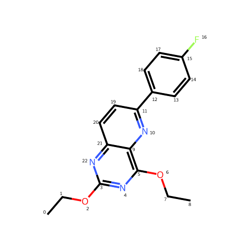 CCOc1nc(OCC)c2nc(-c3ccc(F)cc3)ccc2n1